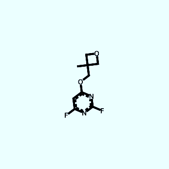 CC1(COc2cc(F)nc(F)n2)COC1